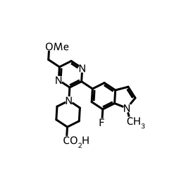 COCc1cnc(-c2cc(F)c3c(ccn3C)c2)c(N2CCC(C(=O)O)CC2)n1